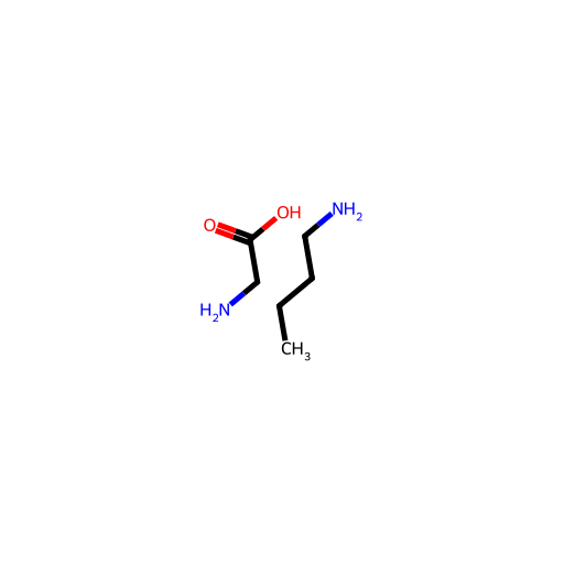 CCCCN.NCC(=O)O